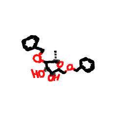 C[C@@H]1OC(COCc2ccccc2)[C@H](O)[C@H](O)C1OCc1ccccc1